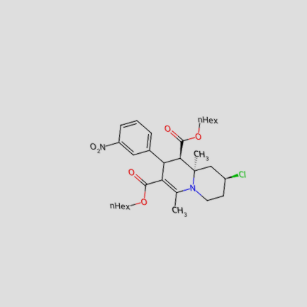 CCCCCCOC(=O)C1=C(C)N2CC[C@H](Cl)C[C@]2(C)[C@H](C(=O)OCCCCCC)C1c1cccc([N+](=O)[O-])c1